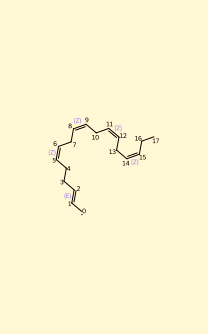 [CH2]/C=C/CC/C=C\C/C=C\C/C=C\C/C=C\CC